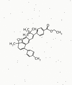 CCOC(=O)c1ccc(/C(=C/c2ccc3c(c2)C(c2ccc(C)cc2)=CCC3(C)C)[Si](C)(C)C)cc1